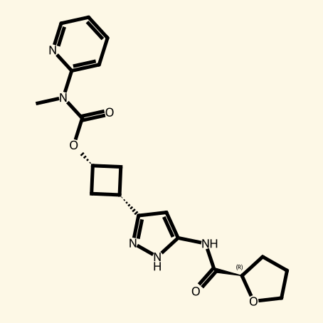 CN(C(=O)O[C@H]1C[C@@H](c2cc(NC(=O)[C@H]3CCCO3)[nH]n2)C1)c1ccccn1